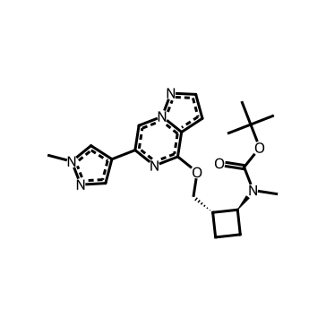 CN(C(=O)OC(C)(C)C)[C@H]1CC[C@@H]1COc1nc(-c2cnn(C)c2)cn2nccc12